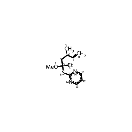 C=C[C@H](C)C[C@@](CC)(OC)Sc1ncccn1